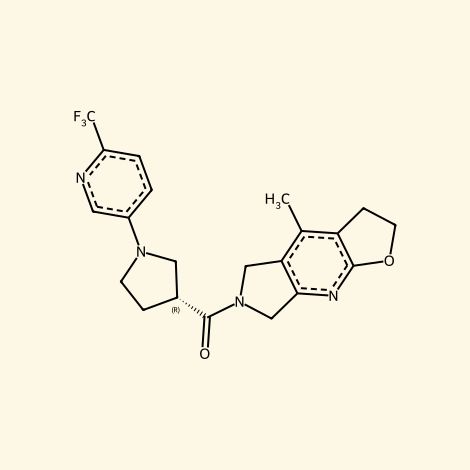 Cc1c2c(nc3c1CCO3)CN(C(=O)[C@@H]1CCN(c3ccc(C(F)(F)F)nc3)C1)C2